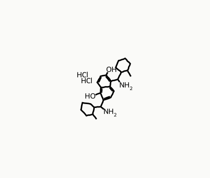 CC1CCCCC1C(N)c1ccc2c(C(N)C3CCCCC3C)c(O)ccc2c1O.Cl.Cl